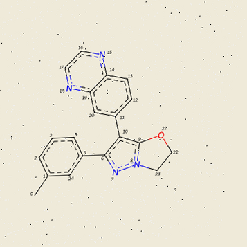 Cc1cccc(-c2nn3c(c2-c2ccc4nccnc4c2)OCC3)c1